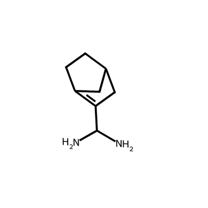 NC(N)C1=C2CCC(C2)C1